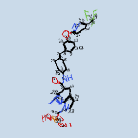 O=C(NC1CCC(=Cc2cccc(Oc3ccc(C(F)(F)F)cn3)c2)CC1)c1cnc2c(ccn2COP(O)O)c1